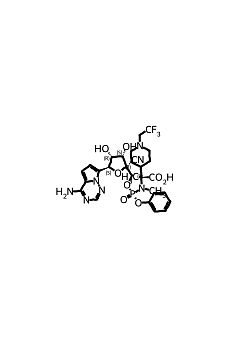 CN([C@@](C)(C(=O)O)C1CCN(CC(F)(F)F)CC1)P(=O)(OC[C@@]1(C#N)O[C@@H](c2ccc3c(N)ncnn23)[C@H](O)[C@@H]1O)Oc1ccccc1